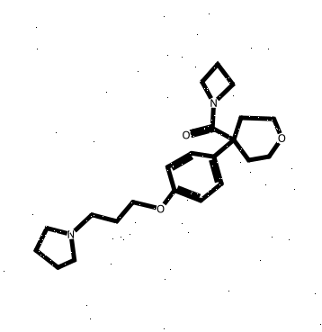 O=C(N1CCC1)C1(c2ccc(OCCCN3CCCC3)cc2)CCOCC1